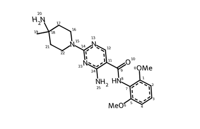 COc1cccc(OC)c1NC(=O)c1cnc(N2CCC(C)(N)CC2)nc1N